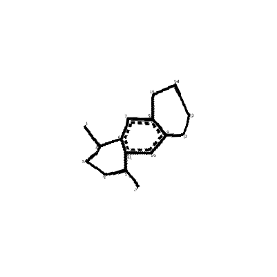 CC1CCC(C)c2cc3c(cc21)CCCC3